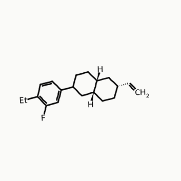 C=C[C@@H]1CC[C@@H]2CC(c3ccc(CC)c(F)c3)CC[C@@H]2C1